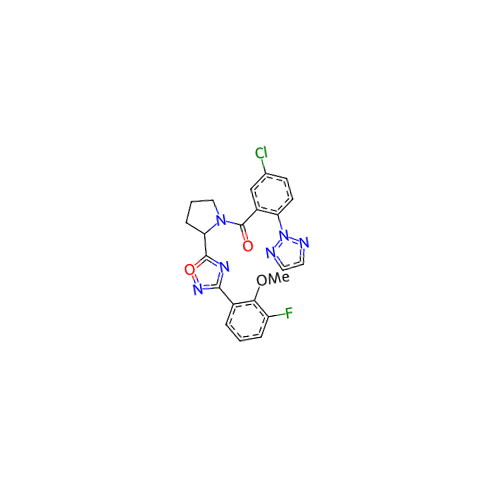 COc1c(F)cccc1-c1noc(C2CCCN2C(=O)c2cc(Cl)ccc2-n2nccn2)n1